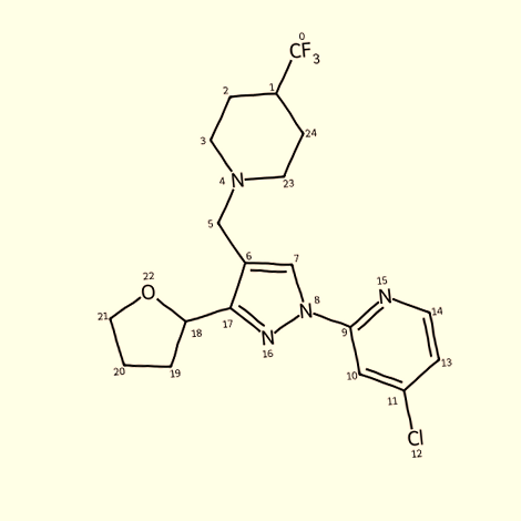 FC(F)(F)C1CCN(Cc2cn(-c3cc(Cl)ccn3)nc2C2CCCO2)CC1